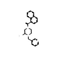 CCCCC1CN(C(=O)c2cccc3ccccc23)CCN1Cc1cccnc1